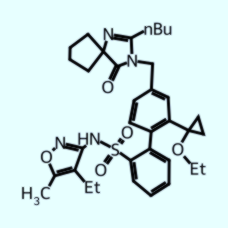 CCCCC1=NC2(CCCC2)C(=O)N1Cc1ccc(-c2ccccc2S(=O)(=O)Nc2noc(C)c2CC)c(C2(OCC)CC2)c1